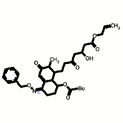 C=CCOC(=O)CC(O)CC(=O)CCC1C(C)C(=O)C=C2/C(=N\OCc3ccccc3)CCC(OC(=O)C(C)CC)C21